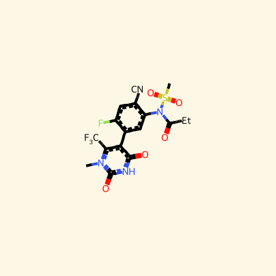 CCC(=O)N(c1cc(-c2c(C(F)(F)F)n(C)c(=O)[nH]c2=O)c(F)cc1C#N)S(C)(=O)=O